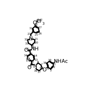 CC(=O)Nc1ccc(OC2CCN(C(=O)c3ccc(C(=O)NC4CCN(Cc5cccc(OC(F)(F)F)c5)CC4)cn3)CC2)cc1